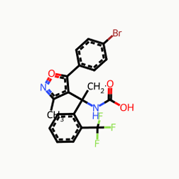 [CH2]C(NC(=O)O)(c1ccccc1C(F)(F)F)c1c(C)noc1-c1ccc(Br)cc1